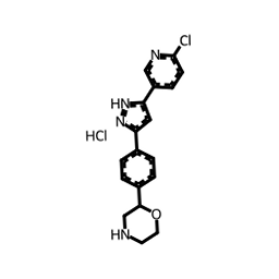 Cl.Clc1ccc(-c2cc(-c3ccc(C4CNCCO4)cc3)n[nH]2)cn1